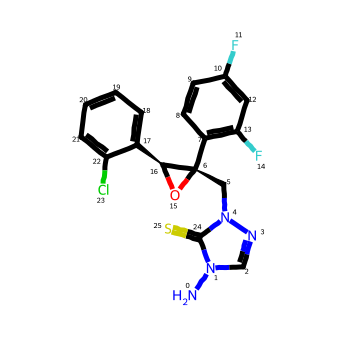 Nn1cnn(C[C@@]2(c3ccc(F)cc3F)O[C@H]2c2ccccc2Cl)c1=S